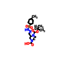 Cc1ccc(S(=O)(=O)N/N=C/C2CN(C(=O)O)CCN2C(=O)OC(C)(C)C)cc1